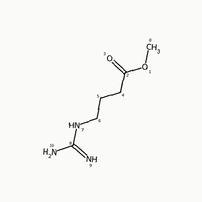 COC(=O)CCCNC(=N)N